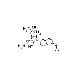 CC(C)(O)Cn1nc(-c2ccc3cc(OC4CC4)ccc3c2)c2cnc(N)nc21